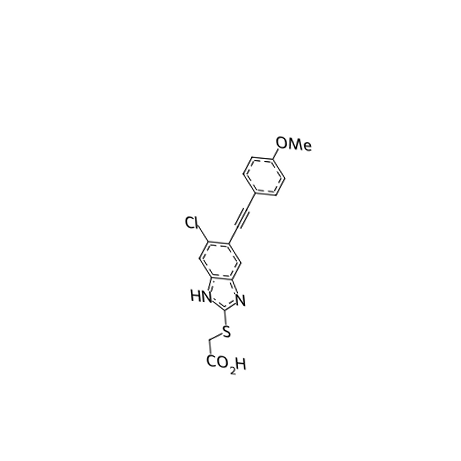 COc1ccc(C#Cc2cc3nc(SCC(=O)O)[nH]c3cc2Cl)cc1